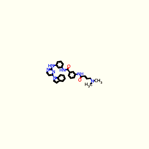 CN(C)C/C=C/C(=O)Nc1cccc(C(=O)Nc2cccc(Nc3nccc(-n4ccc5ccccc54)n3)c2)c1